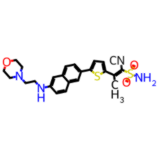 C/C(=C(/C#N)S(N)(=O)=O)c1ccc(-c2ccc3cc(NCCN4CCOCC4)ccc3c2)s1